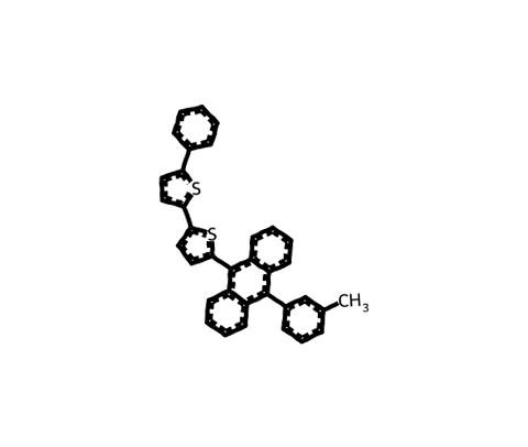 Cc1cccc(-c2c3ccccc3c(-c3ccc(-c4ccc(-c5ccccc5)s4)s3)c3ccccc23)c1